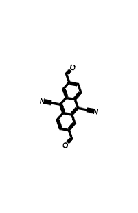 N#Cc1c2ccc(C=O)cc2c(C#N)c2ccc(C=O)cc12